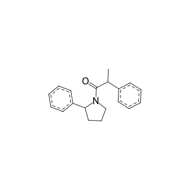 CC(C(=O)N1CCCC1c1ccccc1)c1ccccc1